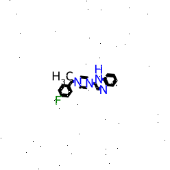 CC(c1ccc(F)cc1)N1CCN(C2C=Nc3[c]cccc3N2)CC1